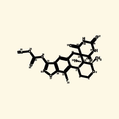 C[C@@H]1OCCN2c3c(cc4c(OC(=O)OC(C)(C)C)noc4c3F)CC3(C(=O)NC(=O)NC3=O)[C@@H]12